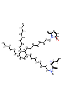 C=C/C=C\C(=C)N(C)CCCCCCCCC1CCC(CCCCCC)C(CCCCCCCC)C1CCCCCCCCN1C(=C)C=CC1=O